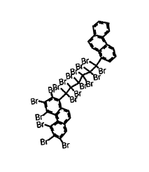 Brc1cc2ccc3c(C(Br)(Br)C(Br)(Br)C(Br)(Br)C(Br)(Br)C(Br)(Br)C(Br)(Br)c4cccc5c4ccc4ccccc45)c(Br)c(Br)c(Br)c3c2c(Br)c1Br